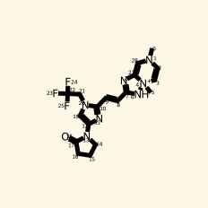 CN1C=C[N+]2(C)NC(/C=C/c3nc(N4CCCC4=O)cn3CC(F)(F)F)=NC2=C1